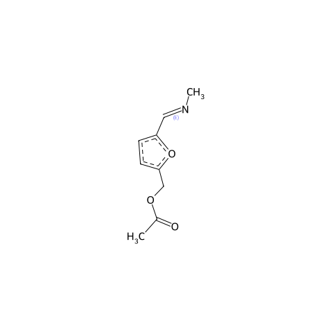 C/N=C/c1ccc(COC(C)=O)o1